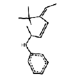 C/C=C(\C=C/C(C)Nc1ccccc1)C(C)(C)C